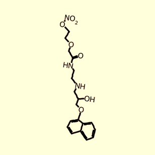 O=C(COCCO[N+](=O)[O-])NCCNCC(O)COc1cccc2ccccc12